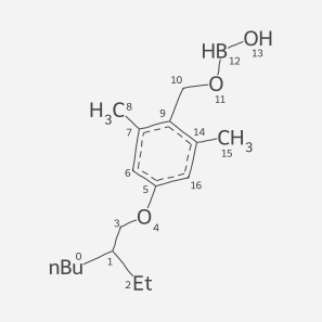 CCCCC(CC)COc1cc(C)c(COBO)c(C)c1